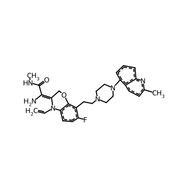 C=CN1/C(=C(\N)C(=O)NC)COc2c1ccc(F)c2CCN1CCN(c2cccc3nc(C)ccc23)CC1